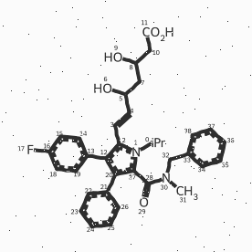 CC(C)n1c(/C=C/C(O)CC(O)CC(=O)O)c(-c2ccc(F)cc2)c(-c2ccccc2)c1C(=O)N(C)Cc1ccccc1